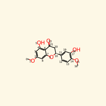 COc1cc(O)c2c(c1)O[C@H](c1ccc(OC)c(O)c1)CC2=O